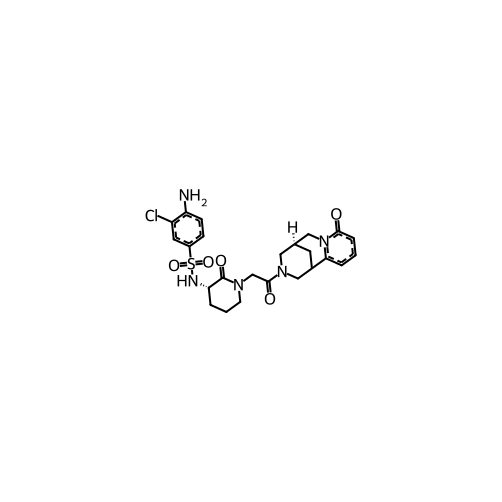 Nc1ccc(S(=O)(=O)N[C@H]2CCCN(CC(=O)N3CC4C[C@@H](C3)Cn3c4cccc3=O)C2=O)cc1Cl